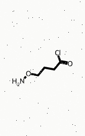 NOCCCC(=O)Cl